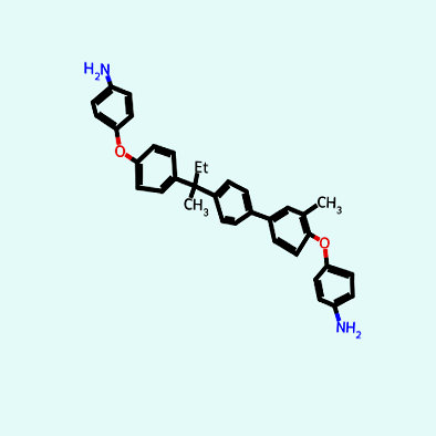 CCC(C)(c1ccc(Oc2ccc(N)cc2)cc1)c1ccc(-c2ccc(Oc3ccc(N)cc3)c(C)c2)cc1